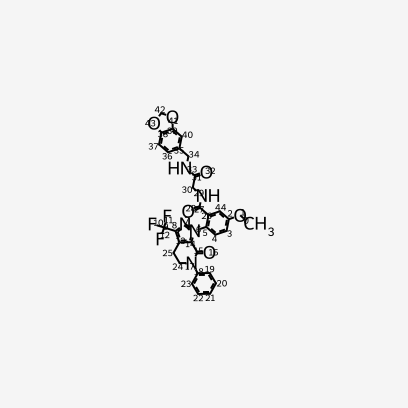 COc1ccc(-n2nc(C(F)(F)F)c3c2C(=O)N(c2ccccc2)CC3)c(C(=O)NCC(=O)NCc2ccc3c(c2)OCO3)c1